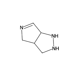 C1=NCC2CNNC12